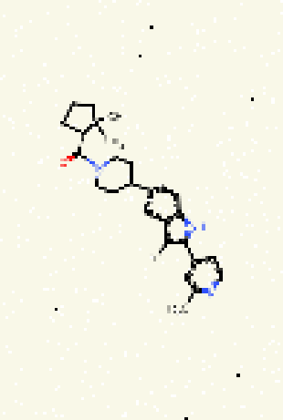 Cc1cc(-c2[nH]c3ccc(C4CCN(C(=O)[C@H]5CCCC5(C)C)CC4)cc3c2C(C)C)ccn1